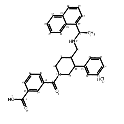 C[C@@H](NCC1CCN(C(=O)c2cccc(C(=O)O)c2)CC1c1ccccc1)c1cccc2ccccc12.Cl